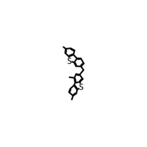 Cc1ccc2c(c1)sc1cc(Cc3cc(C)c4c(c3)sc3cc(C)ccc34)ccc12